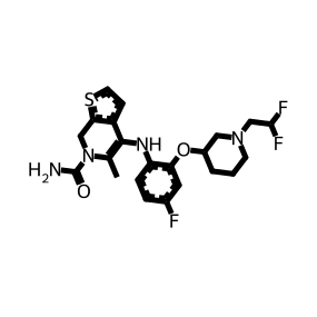 CC1=C(Nc2ccc(F)cc2OC2CCCN(CC(F)F)C2)c2ccsc2CN1C(N)=O